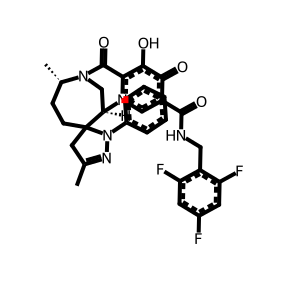 CC1=NN(c2ccccc2)C2(CC[C@H](C)N3C[C@H]2n2cc(C(=O)NCc4c(F)cc(F)cc4F)c(=O)c(O)c2C3=O)C1